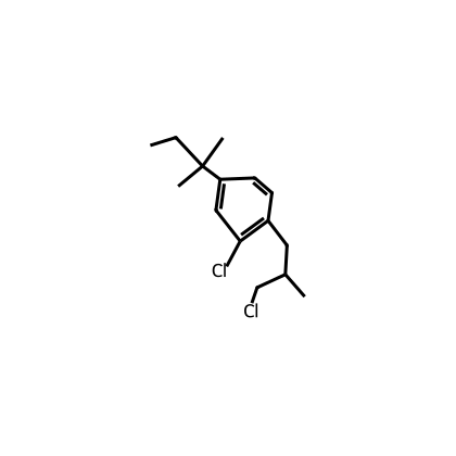 CCC(C)(C)c1ccc(CC(C)CCl)c(Cl)c1